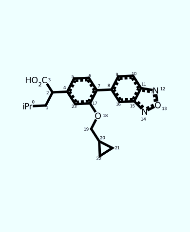 CC(C)CC(C(=O)O)c1ccc(-c2ccc3nonc3c2)c(OCC2CC2)c1